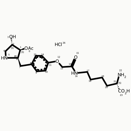 CC(=O)O[C@@H]1[C@@H](O)CN[C@@H]1Cc1ccc(OCC(=O)NCCCC[C@H](N)C(=O)O)cc1.Cl